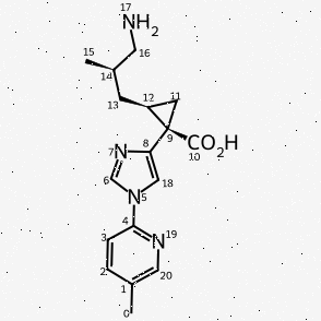 Cc1ccc(-n2cnc([C@@]3(C(=O)O)C[C@@H]3C[C@@H](C)CN)c2)nc1